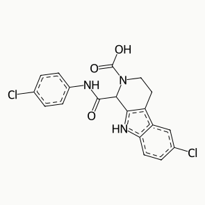 O=C(Nc1ccc(Cl)cc1)C1c2[nH]c3ccc(Cl)cc3c2CCN1C(=O)O